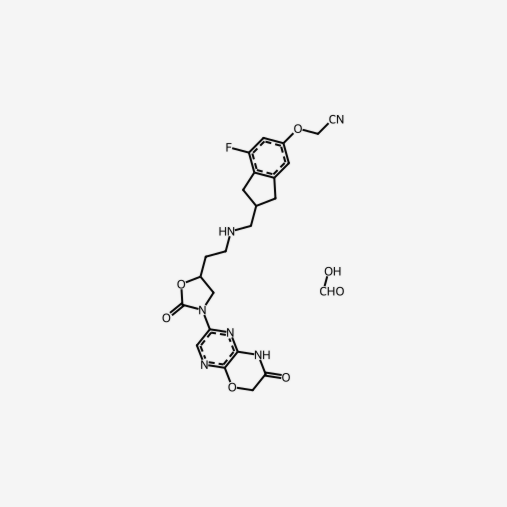 N#CCOc1cc(F)c2c(c1)CC(CNCCC1CN(c3cnc4c(n3)NC(=O)CO4)C(=O)O1)C2.O=CO